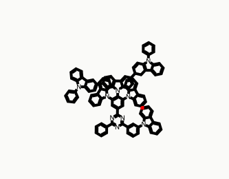 C1=CC(c2ccc3c(c2)c2ccc(-c4ccc5c(c4)c4ccccc4n5-c4ccccc4)cc2n3-c2c(-n3c4ccccc4c4ccccc43)cc(-c3nc(-c4ccccc4)nc(-c4cccc(-n5c6ccccc6c6ccccc65)c4)n3)cc2-n2c3ccccc3c3ccccc32)Cc2c1n(-c1ccccc1)c1ccccc21